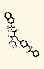 CCN(CC)C(=O)C(CCc1ccc(NC(=O)c2ccccc2)cc1)C(=O)NS(=O)(=O)c1ccc2ccccc2c1